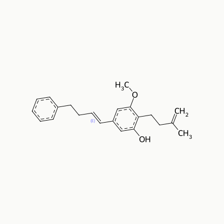 C=C(C)CCc1c(O)cc(/C=C/CCc2ccccc2)cc1OC